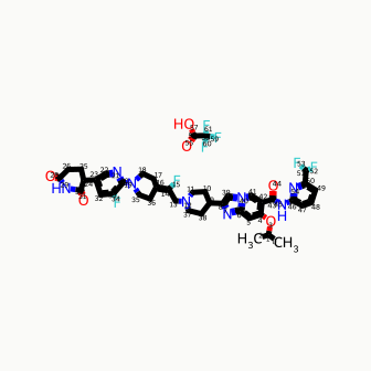 CC(C)Oc1cc2nc(C3CCN(CC(F)=C4CCN(c5ncc(C6CCC(=O)NC6=O)cc5F)CC4)CC3)cn2cc1C(=O)Nc1cccc(C(F)F)n1.O=C(O)C(F)(F)F